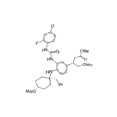 COCC(CC(=O)OC)c1ccc(N[C@]2(CC(C)C)CC[C@@H](OC)CC2)c(NC(=O)Nc2ccc(Cl)cc2F)c1